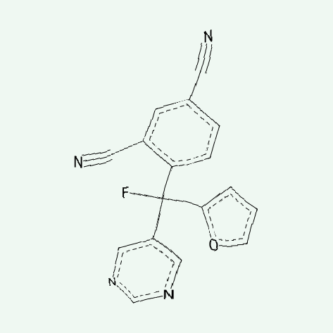 N#Cc1ccc(C(F)(c2cncnc2)c2ccco2)c(C#N)c1